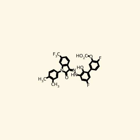 Cc1ccc(N2C(=O)C(=NNc3cc(F)cc(-c4ccc(F)c(OC(=O)O)c4)c3O)c3ccc(C(F)(F)F)cc32)cc1C